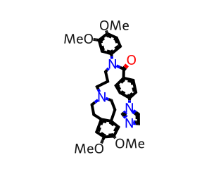 COc1ccc(N(CCCN2CCc3cc(OC)c(OC)cc3CC2)C(=O)c2ccc(-n3ccnc3)cc2)cc1OC